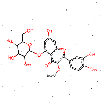 COOc1c(-c2ccc(O)c(O)c2)oc2cc(O)cc(OC3OC(CO)C(O)C(O)C3O)c2c1=O